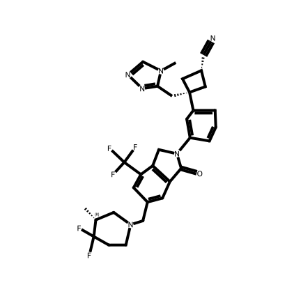 C[C@@H]1CN(Cc2cc3c(c(C(F)(F)F)c2)CN(c2cccc([C@]4(Cc5nncn5C)C[C@@H](C#N)C4)c2)C3=O)CCC1(F)F